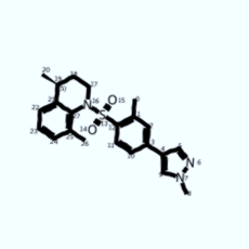 Cc1cc(-c2cnn(C)c2)ccc1S(=O)(=O)N1CC[C@H](C)c2cccc(C)c21